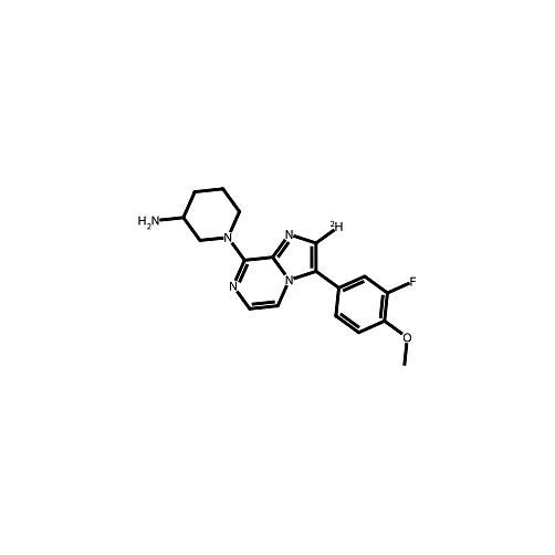 [2H]c1nc2c(N3CCCC(N)C3)nccn2c1-c1ccc(OC)c(F)c1